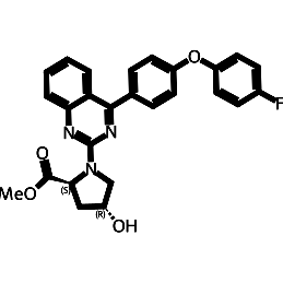 COC(=O)[C@@H]1C[C@@H](O)CN1c1nc(-c2ccc(Oc3ccc(F)cc3)cc2)c2ccccc2n1